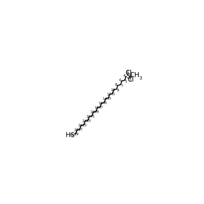 C[Si](Cl)(Cl)CCCCCCCCCCCCCCCCCCCCCCCCCCS